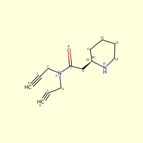 C#CCN(CC#C)C(=O)C[C@H]1CCCCN1